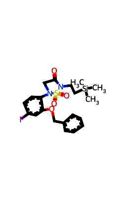 C[Si](C)(C)CCN1C(=O)CN(c2ccc(I)cc2OCc2ccccc2)S1(=O)=O